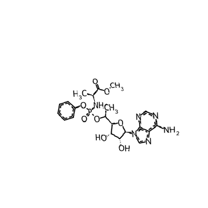 COC(=O)[C@H](C)NP(=O)(Oc1ccccc1)OC(C)C1O[C@@H](n2cnc3c(N)ncnc32)[C@H](O)[C@@H]1O